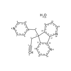 C#CCC1(Cc2ccncc2)c2cccnc2-c2ncccc21.O